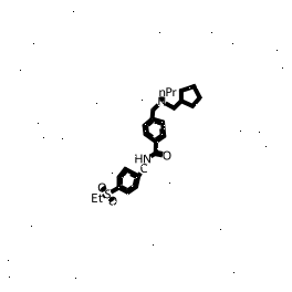 CCCN(Cc1ccc(C(=O)NCc2ccc(S(=O)(=O)CC)cc2)cc1)CC1CCCC1